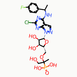 CC(Nc1nc(Cl)nc2c1cnn2[C@@H]1O[C@H](COC(C)(CO)P(=O)(O)O)[C@@H](O)[C@H]1O)c1ccc(F)cc1